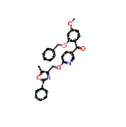 COc1ccc(C(=O)c2ccc(OCc3nc(-c4ccccc4)oc3C)nc2)c(OCc2ccccc2)c1